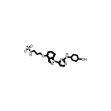 CS(=O)(=O)NCCCOc1cccc2c1cnn2-c1ccnc(NC2CCC(O)CC2)n1